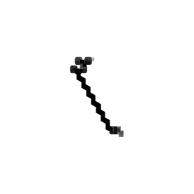 CCCCC/C=C/CCCCCCCC(=O)O[N+](=O)[O-]